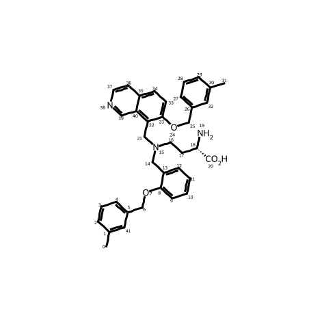 Cc1cccc(COc2ccccc2CN(CC[C@H](N)C(=O)O)Cc2c(OCc3cccc(C)c3)ccc3ccncc23)c1